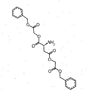 N[C@@H](CC(=O)OCC(=O)OCc1ccccc1)C(=O)OCC(=O)OCc1ccccc1